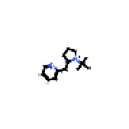 CC(C)(C)N1CCCC1Cc1ccccn1